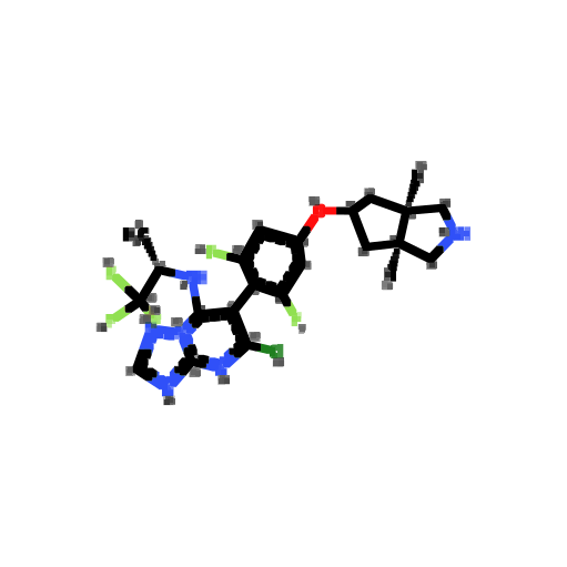 C[C@H](Nc1c(-c2c(F)cc(OC3C[C@H]4CNC[C@H]4C3)cc2F)c(Cl)nc2ncnn12)C(F)(F)F